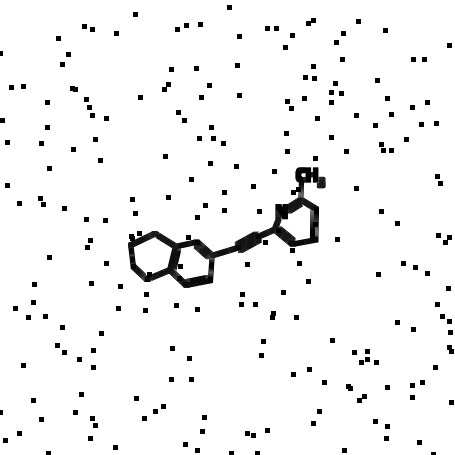 Cc1cccc(C#Cc2ccc3c(c2)CCCC3)n1